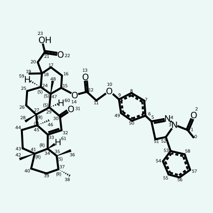 CC(=O)N1N=C(c2ccc(OCC(=O)OC3CCC(C)(CC(=O)O)[C@@H]4CC[C@]5(C)[C@H](C(=O)C=C6[C@@H]7[C@@H](C)[C@H](C)CC[C@]7(C)CC[C@]65C)[C@@]34C)cc2)CC1c1ccccc1